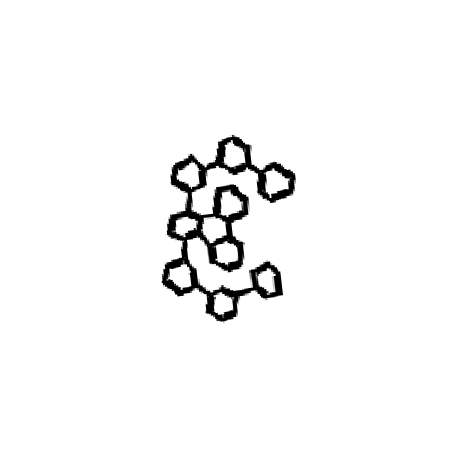 c1ccc(-c2cccc(-c3cccc(-c4ccc(-c5cccc(-c6cccc(-c7ccccc7)c6)c5)c5c6ccccc6c6ccccc6c45)c3)c2)cc1